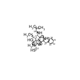 CSCCC(C(=O)O)(C(=O)C(N)CS)N(C(=O)CNCC(C)C)C(=O)C(N)Cc1ccccc1